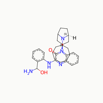 NC(O)c1ccccc1Nc1nc2ccccc2n([C@H]2CC3CC[C@@H](C2)N3C2CCCCCCC2)c1=O